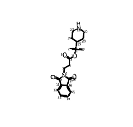 CC(C)(OC(=O)CCN1C(=O)c2ccccc2C1=O)C1CCNCC1